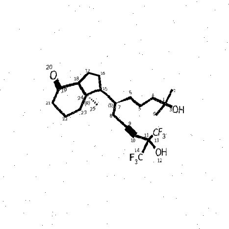 CC(C)(O)CCC[C@@H](CC#CC(O)(C(F)(F)F)C(F)(F)F)C1CCC2C(=O)CCC[C@@]21C